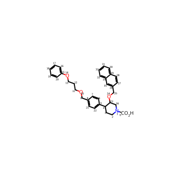 O=C(O)N1CCC(c2ccc(COCCCOc3ccccc3)cc2)C(OCc2ccc3ccccc3c2)C1